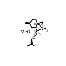 C=C1CC[C@]2(CO2)[C@@H]([C@@](C)(N)OCC=C(C)C)[C@@H]1OC